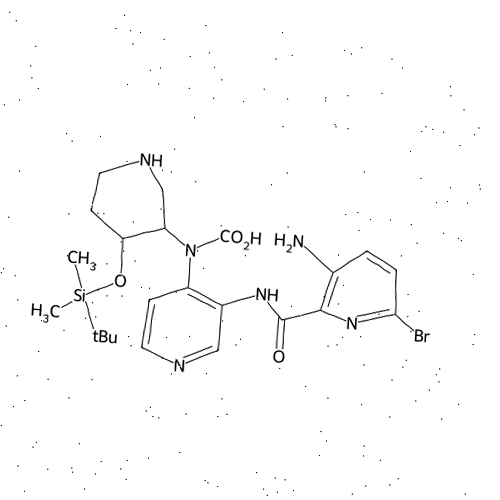 CC(C)(C)[Si](C)(C)OC1CCNCC1N(C(=O)O)c1ccncc1NC(=O)c1nc(Br)ccc1N